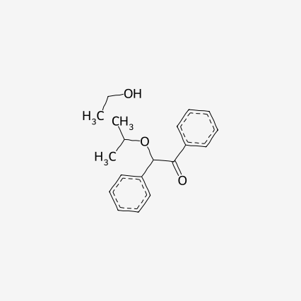 CC(C)OC(C(=O)c1ccccc1)c1ccccc1.CCO